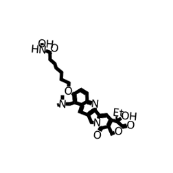 CC[C@@]1(O)C(=O)OCc2c1cc1n(c2=O)Cc2cc3c(CN(C)C)c(OCCCCCCC(=O)NO)ccc3nc2-1